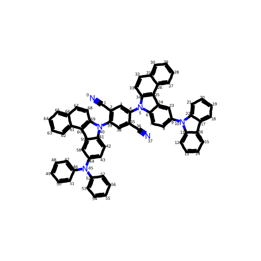 N#Cc1cc(-n2c3ccc(-n4c5ccccc5c5ccccc54)cc3c3c4ccccc4ccc32)c(C#N)cc1-n1c2ccc(N(c3ccccc3)c3ccccc3)cc2c2c3ccccc3ccc21